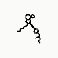 CCCCCCc1cc2c(cc1C#Cc1cnc(CC(=O)OCC)cn1)C(CC)(CC)CCS2